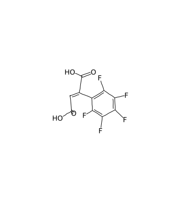 O=C(O)/C=C(/C(=O)O)c1c(F)c(F)c(F)c(F)c1F